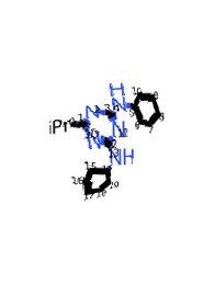 CC(C)c1nc(Nc2ccccc2)nc(Nc2ccccc2)n1